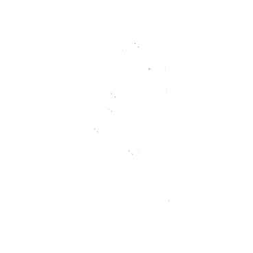 O=C1NC[C@H](C(F)(F)F)CC1Cc1ccc2nc(C(NC(=O)C3CC34CC(F)(F)C4)C3CCC(F)(F)CC3)cn2n1